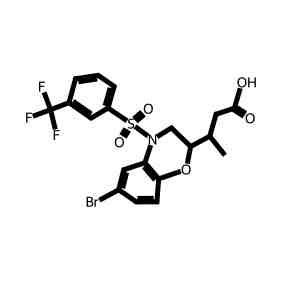 CC(CC(=O)O)C1CN(S(=O)(=O)c2cccc(C(F)(F)F)c2)c2cc(Br)ccc2O1